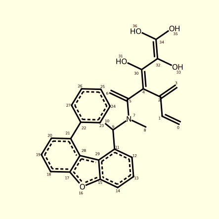 C=CC(=C)/C(C(=C)N(C)C(C)c1cccc2oc3cccc(-c4ccccc4)c3c12)=C(/O)C(O)=C(O)O